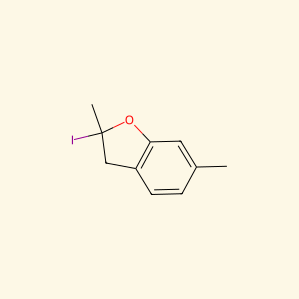 Cc1ccc2c(c1)OC(C)(I)C2